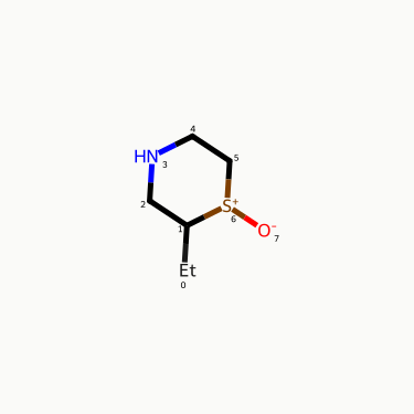 CCC1CNCC[S+]1[O-]